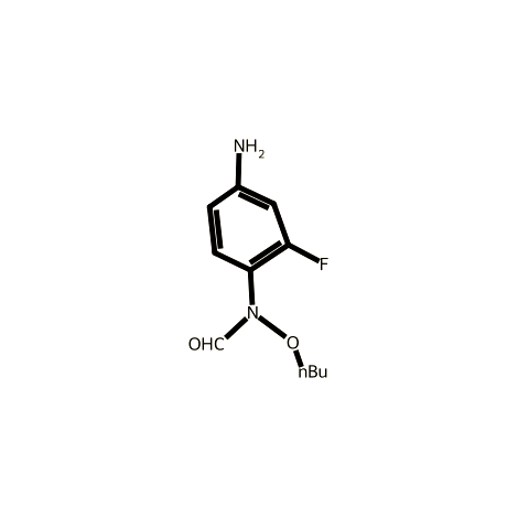 CCCCON(C=O)c1ccc(N)cc1F